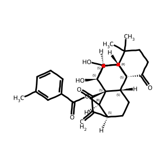 C=C1C(=O)[C@]23[C@H](OC(=O)c4cccc(C)c4)[C@H]1CC[C@H]2[C@@]12CO[C@]3(O)[C@@H](O)[C@@H]1C(C)(C)CCC2=O